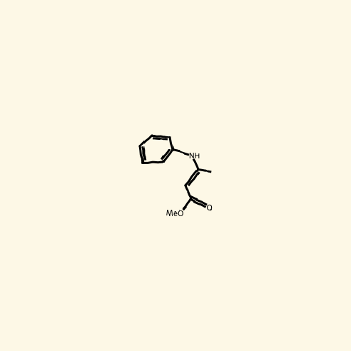 COC(=O)C=C(C)Nc1ccccc1